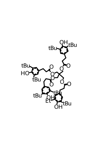 CCc1cc(CCC(=O)OCC(COC(=O)CCc2cc(C(C)(C)C)c(O)c(C(C)(C)C)c2)(COC(=O)CCc2cc(C(C)(C)C)c(O)c(C(C)(C)C)c2)COC(=O)CCc2cc(C(C)(C)C)c(O)c(C(C)(C)C)c2)cc(C(C)(C)C)c1O